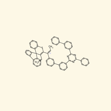 C=CC1=C(/C(=C\C)c2cccc(-c3cccc(-c4nc(-c5ccccc5)nc(-c5cccc(-c6ccccc6)c5)n4)c3)c2)Sc2ccccc2C12c1ccccc1-c1ccccc12